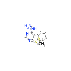 C[S@@]12CCCCC1c1c(NN)ncnc1S2